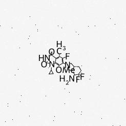 COc1c(N2CC3CCC(F)(F)C(N)C3C2)c(F)c(C)c2c(=O)[nH]c(=O)n(C3CC3)c12